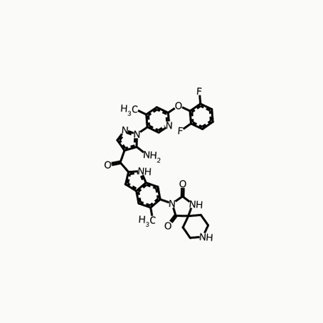 Cc1cc2cc(C(=O)c3cnn(-c4cnc(Oc5c(F)cccc5F)cc4C)c3N)[nH]c2cc1N1C(=O)NC2(CCNCC2)C1=O